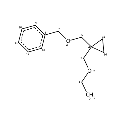 CCOCC1(COCc2ccccc2)CC1